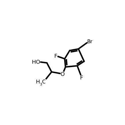 CC(CO)Oc1c(F)cc(Br)cc1F